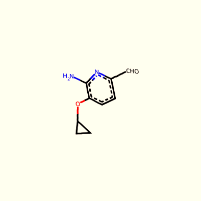 Nc1nc(C=O)ccc1OC1CC1